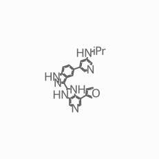 CC(C)Nc1cncc(-c2ccc3[nH]nc(C4Nc5cncc(-c6ccoc6)c5N4)c3c2)c1